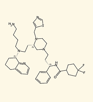 NCCCCN(CC[C@H]1CN(CC[C@H](NC(=O)C2CCC(F)(F)CC2)c2ccccc2)CCN1Cc1cncs1)[C@H]1CCCc2cccnc21